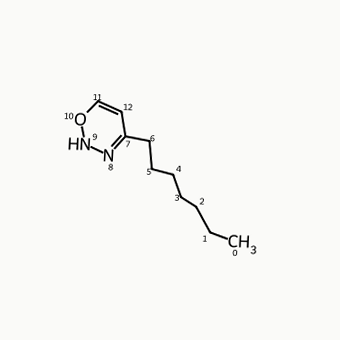 CCCCCCCC1=NNOC=C1